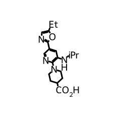 CCc1cnc(-c2cnc(N3CCC(C(=O)O)CC3)c(NC(C)C)c2)o1